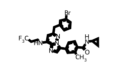 Cc1cc(-c2cnc3c(NCCC(F)(F)F)cc(Cc4cccc(Br)c4)nn23)ccc1C(=O)NC1CC1